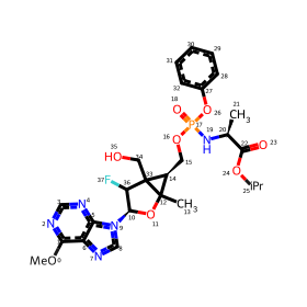 COc1ncnc2c1ncn2[C@@H]1OC2(C)[C@H](COP(=O)(N[C@@H](C)C(=O)OC(C)C)Oc3ccccc3)C2(CO)C1F